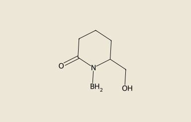 BN1C(=O)CCCC1CO